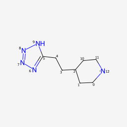 C1CC(CCc2nnn[nH]2)CC[N]1